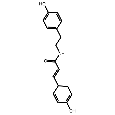 O=C(C=CC1C=CC(O)=CC1)NCCc1ccc(O)cc1